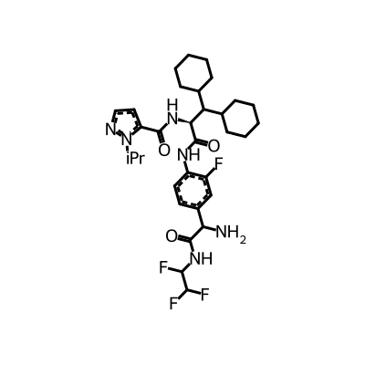 CC(C)n1nccc1C(=O)N[C@H](C(=O)Nc1ccc(C(N)C(=O)NC(F)C(F)F)cc1F)C(C1CCCCC1)C1CCCCC1